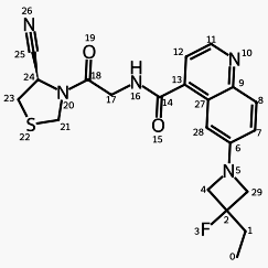 CCC1(F)CN(c2ccc3nccc(C(=O)NCC(=O)N4CSC[C@H]4C#N)c3c2)C1